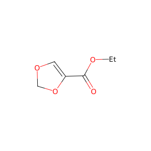 CCOC(=O)C1=COCO1